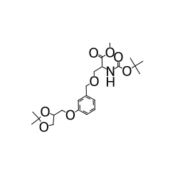 COC(=O)C(COCc1cccc(OCC2COC(C)(C)O2)c1)NC(=O)OC(C)(C)C